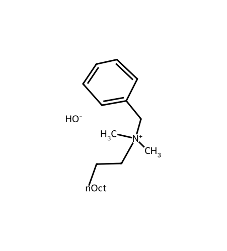 CCCCCCCCCC[N+](C)(C)Cc1ccccc1.[OH-]